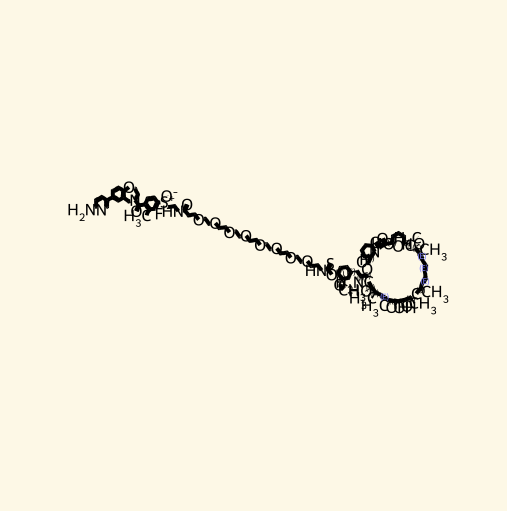 CO[C@H]1C[C@@H]2CCC[C@@](O)(O2)C(=O)C(=O)N2CCCC[C@H]2C(=O)O[C@H]([C@H](N)C[C@@H]2CC[C@@H](OC(=S)NCCOCCOCCOCCOCCOCCOCCOCCOCCC(=O)NCC[S+]([O-])c3ccc(C(=O)N4CCOc5ccc(-c6ccc(N)nc6)cc5C4)c(C)c3F)[C@H](OC)C2)C[C@@H](O)[C@H](C)/C=C(\C)[C@@H](O)[C@@H](O)C(=O)[C@H](C)C[C@H](C)/C=C/C=C/C=C/1C